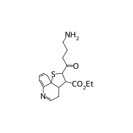 CCOC(=O)C1C(C(=O)CCCN)SC23CC=CC=C2N=CCC13